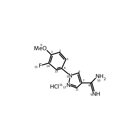 COc1ccc(-n2cc(C(=N)N)cn2)cc1F.Cl